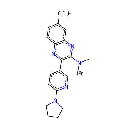 CC(C)N(C)c1nc2cc(C(=O)O)ccc2nc1-c1ccc(N2CCCC2)nc1